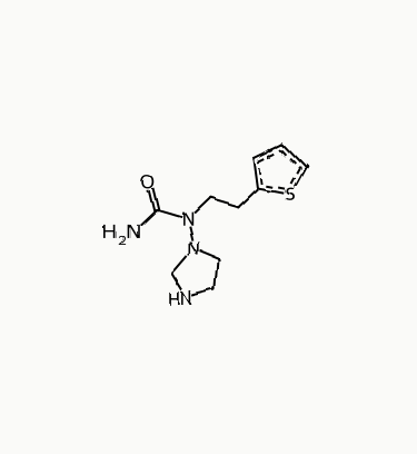 NC(=O)N(CCc1cccs1)N1CCNC1